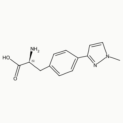 Cn1ccc(-c2ccc(C[C@H](N)C(=O)O)cc2)n1